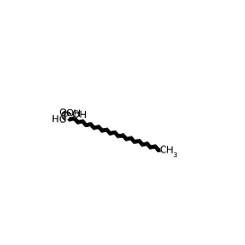 CCCCCCCCCCCCCCCCCCCCCCC(O)CP(=O)(O)O